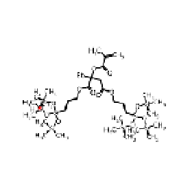 C=C(C)C(=O)OC(CC)(CC(=O)OCCC[Si](O[Si](C)(C)C)(O[Si](C)(C)C)O[Si](C)(C)C)C(=O)OCCC[Si](O[Si](C)(C)C)(O[Si](C)(C)C)O[Si](C)(C)C